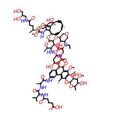 CCN(C(=O)CNC(=O)OCc1ccc(NC(=O)[C@H](C)NC(=O)[C@@H](NC(=O)CCCC(=O)O)C(C)C)cc1)C1COCC(OC2C(O[C@H]3C#C/C=C\C#C[C@]4(O)CC(=O)C(NC(=O)OC)C3/C4=C\CSSC(C)CCC(=O)NCC(O)CO)OC(C)C(NOC3CC(O)C(SC(=O)c4c(C)c(I)c(OC5OC(C)C(O)C(OC)C5O)c(OC)c4OC)C(C)O3)C2O)C1OC